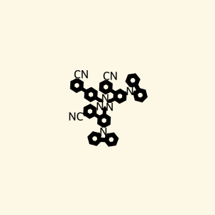 N#Cc1cccc(-c2ccc(-c3nc(-c4ccc(-n5c6ccccc6c6ccccc65)cc4-c4cccc(C#N)c4)nc(-c4ccc(-n5c6ccccc6c6ccccc65)cc4-c4cccc(C#N)c4)n3)cc2)c1